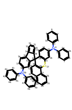 c1ccc(N(c2ccccc2)c2ccc3c(c2)Sc2c(ccc4ccccc24)C32c3ccccc3-c3ccc(N(c4ccccc4)c4ccccc4)cc32)cc1